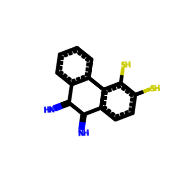 N=C1C(=N)c2ccc(S)c(S)c2-c2ccccc21